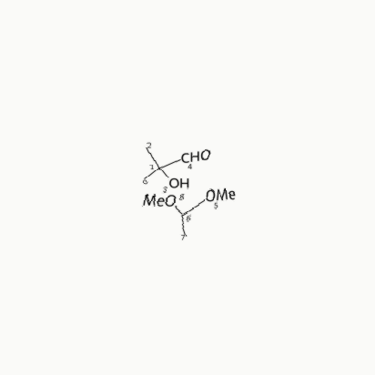 CC(C)(O)C=O.COC(C)OC